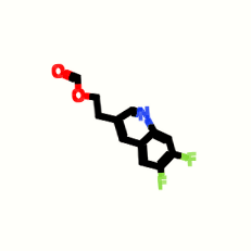 O=COCCc1cnc2cc(F)c(F)cc2c1